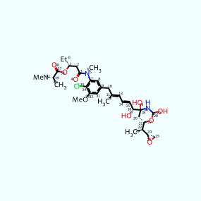 CC[C@H](CC(=O)N(C)c1cc(C/C(C)=C/C=C/[C@@H](O)[C@@]2(O)C[C@@H]([C@H](C)[C@@H]3CO3)OC(O)N2)cc(OC)c1Cl)OC(=O)[C@H](C)NC